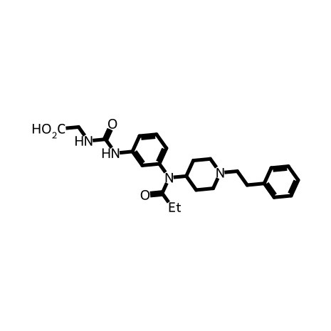 CCC(=O)N(c1cccc(NC(=O)NCC(=O)O)c1)C1CCN(CCc2ccccc2)CC1